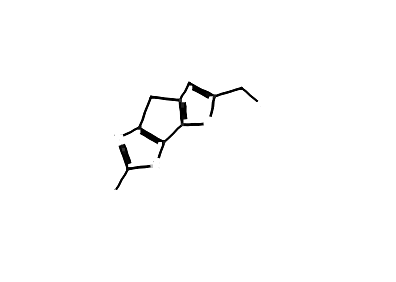 CCc1cc2c(s1)-c1[nH]c(I)nc1C2